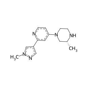 C[C@@H]1CN(c2ccnc(-c3cnn(C)c3)c2)CCN1